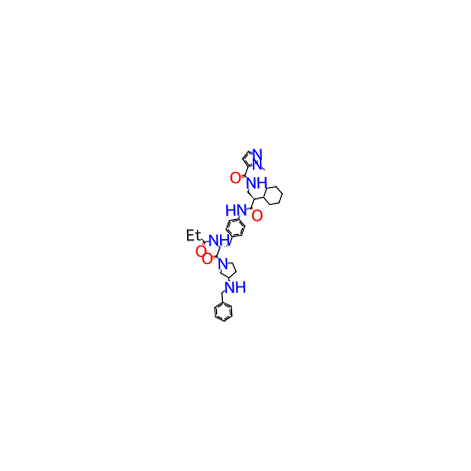 CCC(=O)N[C@H](Cc1ccc(NC(=O)[C@@H](CNC(=O)c2ccnn2C)C2CCCCC2)cc1)C(=O)N1CC[C@@H](NCc2ccccc2)C1